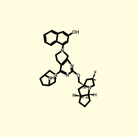 Oc1cc(N2CCc3c(nc(OC[C@@]45C[C@@H](F)CN4[C@@H]4CCC[C@@H]4C5)nc3N3CC4CCC(C3)N4)C2)c2ccccc2c1